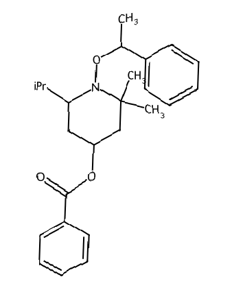 CC(ON1C(C(C)C)CC(OC(=O)c2ccccc2)CC1(C)C)c1ccccc1